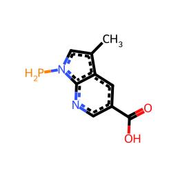 Cc1cn(P)c2ncc(C(=O)O)cc12